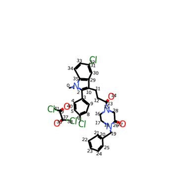 Cn1c(-c2ccc(Cl)cc2)c(CCC(=O)N2CCN(Cc3ccccc3)C(=O)C2)c2cc(Cl)ccc21.O=C(Cl)C(=O)Cl